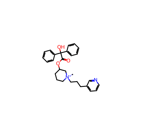 C[N@@+]1(CCCc2cccnc2)CCCC(OC(=O)C(O)(c2ccccc2)c2ccccc2)C1